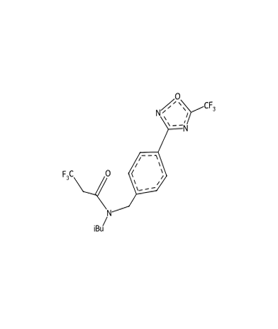 CCC(C)N(Cc1ccc(-c2noc(C(F)(F)F)n2)cc1)C(=O)CC(F)(F)F